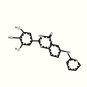 Cc1cc(-c2nc3ccc(Nc4ccccn4)cc3c(=O)[nH]2)cc(C)c1O